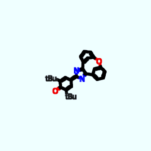 CC(C)(C)C1=CC(=C2N=c3c(c4cccc(c4)oc4cccc3c4)=N2)C=C(C(C)(C)C)C1=O